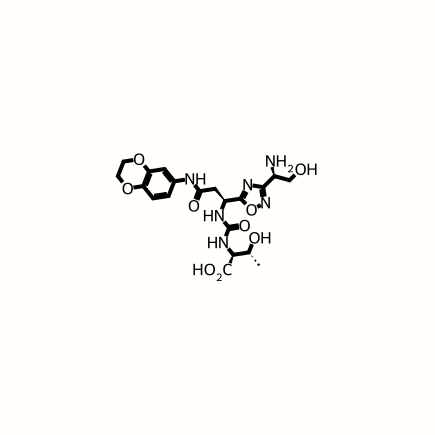 C[C@@H](O)[C@H](NC(=O)N[C@@H](CC(=O)Nc1ccc2c(c1)OCCO2)c1nc([C@@H](N)CO)no1)C(=O)O